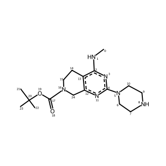 CNc1nc(N2CCNCC2)nc2c1CCN(C(=O)OC(C)(C)C)C2